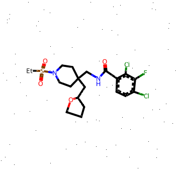 CCS(=O)(=O)N1CCC(CNC(=O)c2ccc(Cl)c(F)c2Cl)(CC2CCCO2)CC1